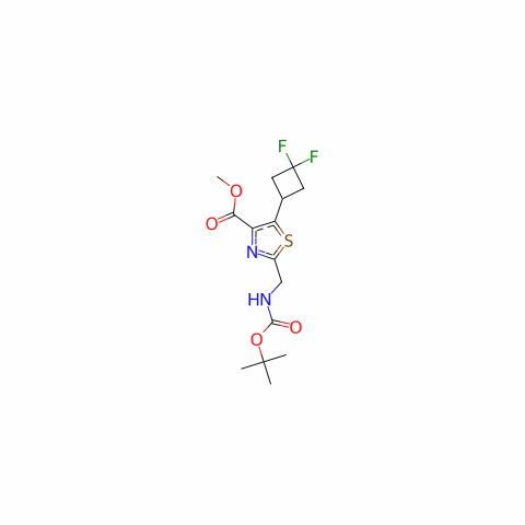 COC(=O)c1nc(CNC(=O)OC(C)(C)C)sc1C1CC(F)(F)C1